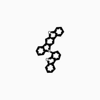 c1ccc2c(c1)oc1cc3c4ccccc4n(-c4cccc5c4oc4ccccc45)c3cc12